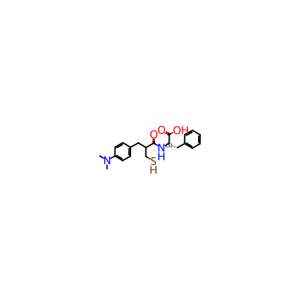 CN(C)c1ccc(CC(CS)C(=O)N[C@@H](Cc2ccccc2)C(=O)O)cc1